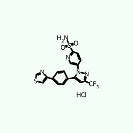 Cl.NS(=O)(=O)c1ccc(-n2nc(C(F)(F)F)cc2-c2ccc(-c3cscn3)cc2)cn1